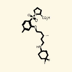 Cc1ccc(S(=O)(=O)N2CCC[C@H]2C(=O)O)c(OCC[C@H](C)CCNC2CCC(F)(F)CC2)c1